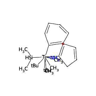 C[SiH](C)[Ti]([CH3])([CH3])([CH3])([NH2])([C]1=CC=CC1)([c]1ccccc1)([C](C)(C)C)[C](C)(C)C